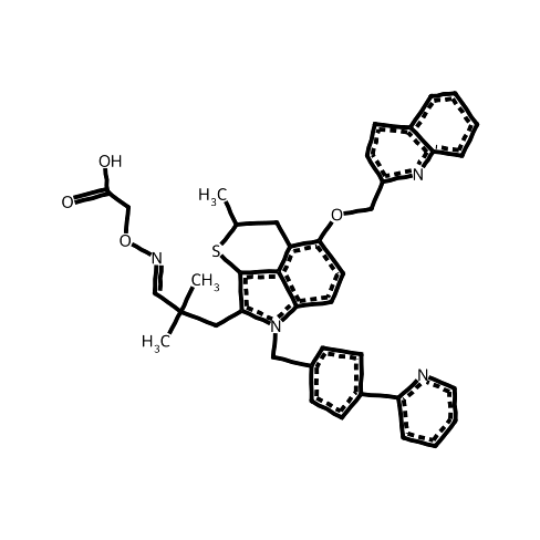 CC1Cc2c(OCc3ccc4ccccc4n3)ccc3c2c(c(CC(C)(C)C=NOCC(=O)O)n3Cc2ccc(-c3ccccn3)cc2)S1